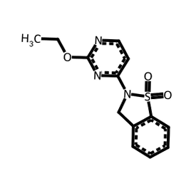 CCOc1nccc(N2Cc3ccccc3S2(=O)=O)n1